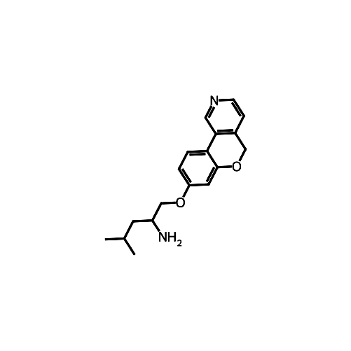 CC(C)CC(N)COc1ccc2c(c1)OCc1ccncc1-2